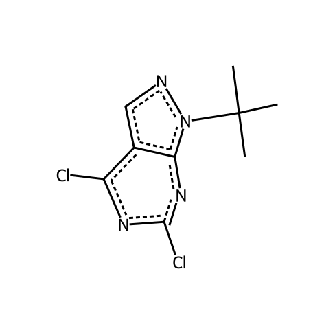 CC(C)(C)n1ncc2c(Cl)nc(Cl)nc21